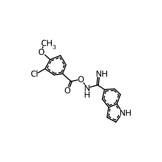 COc1ccc(C(=O)ONC(=N)c2ccc3[nH]ccc3c2)cc1Cl